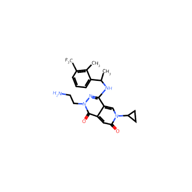 Cc1c(C(C)Nc2nn(CCN)c(=O)c3cc(=O)n(C4CC4)cc23)cccc1C(F)(F)F